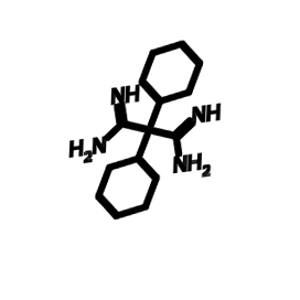 N=C(N)C(C(=N)N)(C1CCCCC1)C1CCCCC1